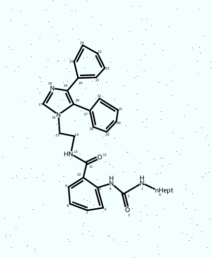 CCCCCCCNC(=O)Nc1ccccc1C(=O)NCCn1cnc(-c2ccccc2)c1-c1ccccc1